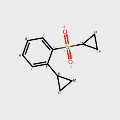 O=S(=O)(c1c[c]ccc1C1CC1)C1CC1